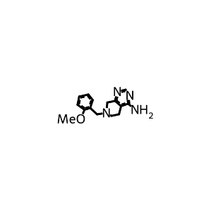 COc1ccccc1CN1CCc2c(N)ncnc2C1